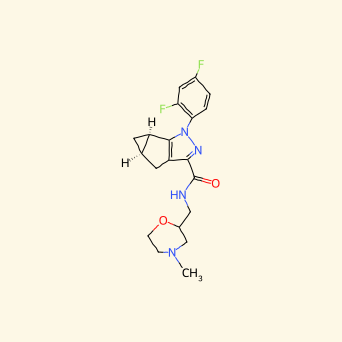 CN1CCOC(CNC(=O)c2nn(-c3ccc(F)cc3F)c3c2C[C@H]2C[C@@H]32)C1